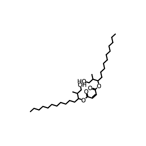 CCCCCCCCCCCC(OC(=O)/C=C\C(=O)OC(CCCCCCCCCCC)C(C)CO)C(C)CO